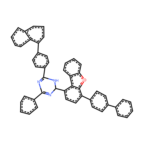 c1ccc(C2=NC(c3ccc(-c4ccc(-c5ccccc5)cc4)c4oc5ccccc5c34)NC(c3ccc(-c4cccc5ccccc45)cc3)=N2)cc1